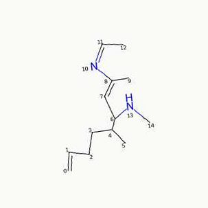 C=CCCC(C)C(/C=C(C)/N=C\C)NC